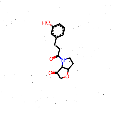 O=C1COC2CCN(C(=O)[CH]Cc3cccc(O)c3)C12